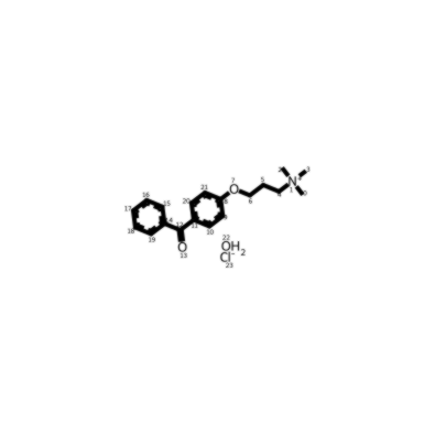 C[N+](C)(C)CCCOc1ccc(C(=O)c2ccccc2)cc1.O.[Cl-]